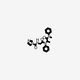 CC(C(=O)N(C)c1ccccc1)N(C(=O)CNC(=O)n1ccnc1)c1ccccc1